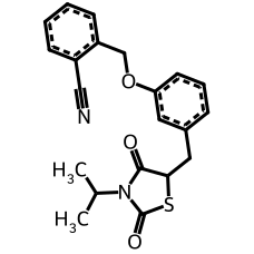 CC(C)N1C(=O)SC(Cc2cccc(OCc3ccccc3C#N)c2)C1=O